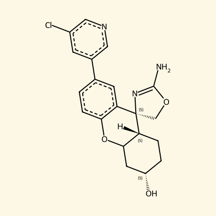 NC1=N[C@]2(CO1)c1cc(-c3cncc(Cl)c3)ccc1OC1C[C@@H](O)CC[C@H]12